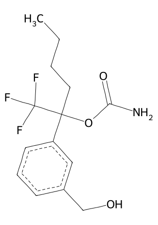 CCCCC(OC(N)=O)(c1cccc(CO)c1)C(F)(F)F